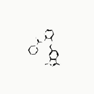 Cn1nc(Cl)c2ccc(COc3cccnc3OC(=O)N3CCCCC3)cc21